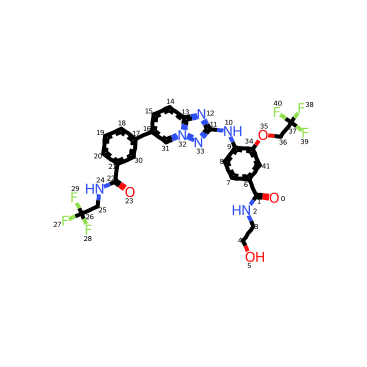 O=C(NCCO)c1ccc(Nc2nc3ccc(-c4cccc(C(=O)NCC(F)(F)F)c4)cn3n2)c(OCC(F)(F)F)c1